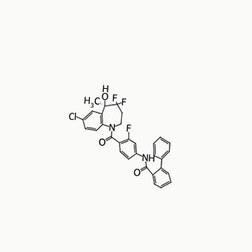 C[C@@]1(O)c2cc(Cl)ccc2N(C(=O)c2ccc(NC(=O)c3ccccc3-c3ccccc3)cc2F)CCC1(F)F